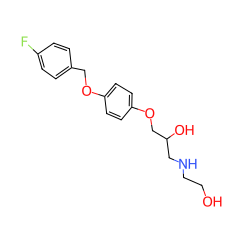 OCCNCC(O)COc1ccc(OCc2ccc(F)cc2)cc1